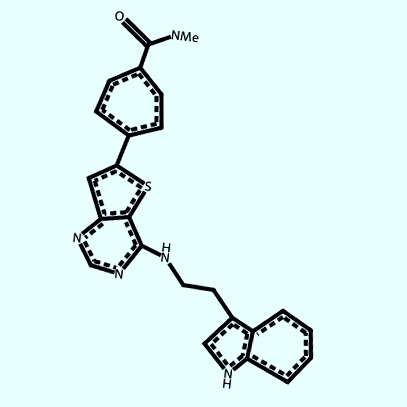 CNC(=O)c1ccc(-c2cc3ncnc(NCCc4c[nH]c5ccccc45)c3s2)cc1